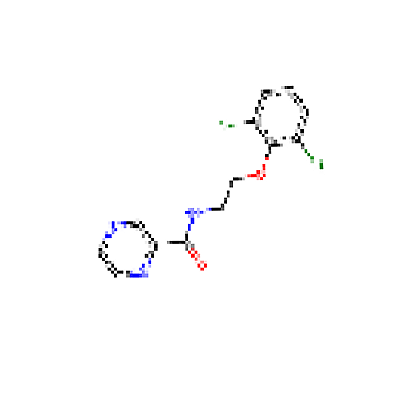 O=C(NCCOc1c(Cl)cccc1Cl)c1cnccn1